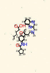 CCCCCC(=O)O.Cc1oc2ccc(NC(=O)C3CCCC3)cc2c1CCN(C)Cc1cnc2ccccc2n1